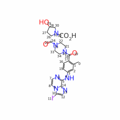 Cc1cc(Nc2nccn3c(I)cnc23)ccc1C(=O)N1CCN(C(=O)[C@@H]2C[C@@H](O)CN2C(=O)O)CC1